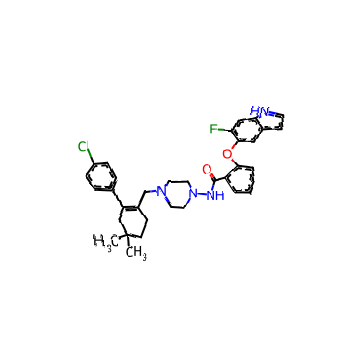 CC1(C)CCC(CN2CCN(NC(=O)c3ccccc3Oc3cc4cc[nH]c4cc3F)CC2)=C(c2ccc(Cl)cc2)C1